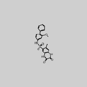 COc1cc(NS(=O)(=O)c2cc3[nH]c(=O)c(=O)[nH]c3cc2C)ccc1-c1ccccc1